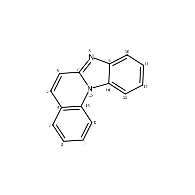 [c]1cccc2ccc3nc4ccccc4n3c12